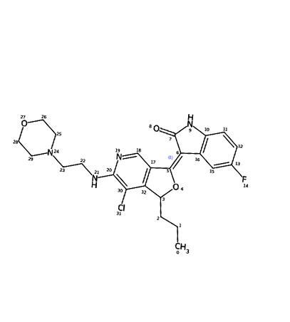 CCCC1O/C(=C2/C(=O)Nc3ccc(F)cc32)c2cnc(NCCN3CCOCC3)c(Cl)c21